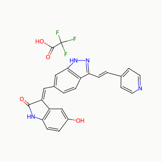 O=C(O)C(F)(F)F.O=C1Nc2ccc(O)cc2/C1=C\c1ccc2c(/C=C/c3ccncc3)n[nH]c2c1